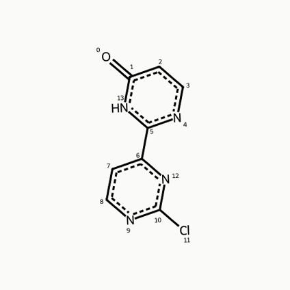 O=c1ccnc(-c2ccnc(Cl)n2)[nH]1